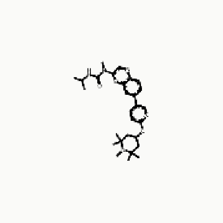 CC(C)NC(=O)N(C)c1cnc2ccc(-c3ccc(OC4CC(C)(C)N(C)C(C)(C)C4)nc3)cc2n1